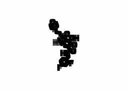 O=C(NCc1ccc(F)cc1F)c1cn2c(c(O)c1=O)C(=O)N(CCN1CCOCC1)CN2